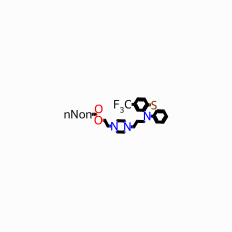 CCCCCCCCCC(=O)OCCN1CCN(CCCN2c3ccccc3Sc3ccc(C(F)(F)F)cc32)CC1